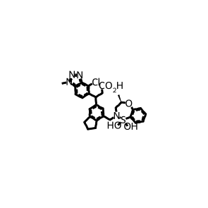 C[C@@H]1CN(Cc2cc(C(CC(=O)O)c3ccc4c(nnn4C)c3Cl)cc3c2CCC3)S(O)(O)c2ccccc2O1